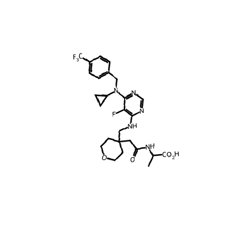 CC(NC(=O)CC1(CNc2ncnc(N(Cc3ccc(C(F)(F)F)cc3)C3CC3)c2F)CCOCC1)C(=O)O